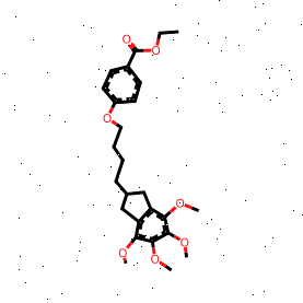 CCOC(=O)c1ccc(OCCCCC2Cc3c(c(OC)c(OC)c(OC)c3OC)C2)cc1